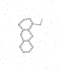 C[CH]c1cccc2cc3ccccc3cc12